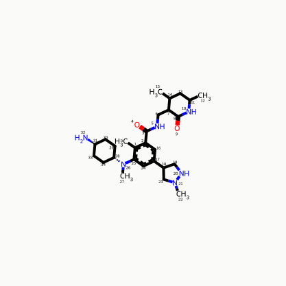 Cc1c(C(=O)NCC2C(=O)NC(C)CC2C)cc(C2CNN(C)C2)cc1N(C)[C@H]1CC[C@H](N)CC1